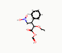 CCOC(C(=O)OC=O)C(C[N+](=O)[O-])c1ccccc1